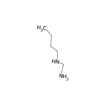 CCCCNCN